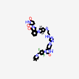 CN(CCCNc1cc(N2CCC3(CC2)CN(c2cc(F)c(CN4CCC(C)(C)CC4)cc2F)CC(=O)N3)ncn1)[C@@H]1C[C@@H]2CN(c3cccc4c3CN(C3CCC(=O)NC3=O)C4=O)C[C@@H]2C1